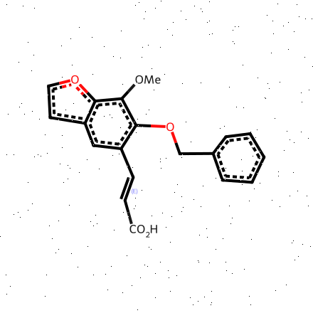 COc1c(OCc2ccccc2)c(/C=C/C(=O)O)cc2ccoc12